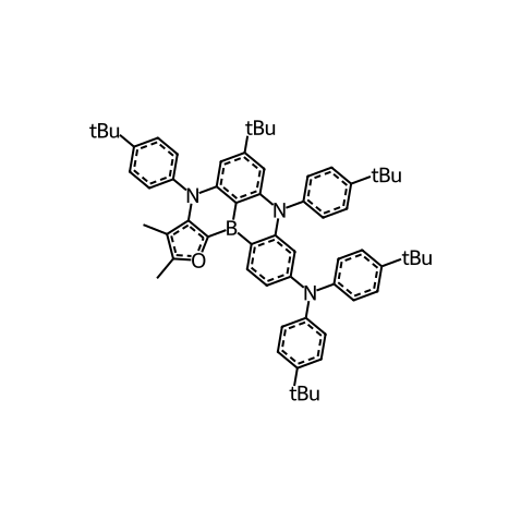 Cc1oc2c(c1C)N(c1ccc(C(C)(C)C)cc1)c1cc(C(C)(C)C)cc3c1B2c1ccc(N(c2ccc(C(C)(C)C)cc2)c2ccc(C(C)(C)C)cc2)cc1N3c1ccc(C(C)(C)C)cc1